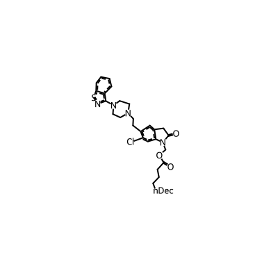 CCCCCCCCCCCCCC(=O)OCN1C(=O)Cc2cc(CCN3CCN(c4nsc5ccccc45)CC3)c(Cl)cc21